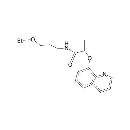 CCOCCCNC(=O)C(C)Oc1cccc2cccnc12